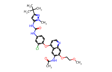 COCCOc1cc2nccc(Oc3ccc(NC(=O)Nc4cc(C(C)(C)C)nn4C)cc3Cl)c2cc1NC(C)=O